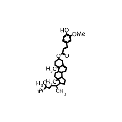 COc1cc(C=CC(=O)OC2CCC3(C)C(=CCC4C3CCC3(C)C(C(C)CCC(C)C(C)C)CCC43)C2)ccc1O